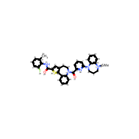 CSN1CCCN(c2cccc(C(=O)N3CCc4cc(C(=O)Nc5c(C)cccc5F)sc4-c4ccccc43)n2)c2ccccc21